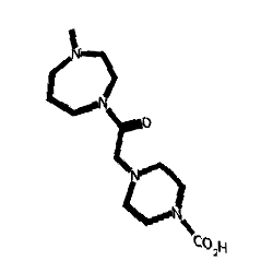 CN1CCCN(C(=O)CN2CCN(C(=O)O)CC2)CC1